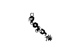 Cn1nnnc1SCC1CCN(C(=O)Oc2ccc(Oc3ccc(Cl)cn3)cc2)CC1